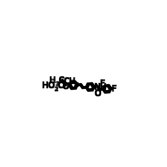 CC(C)(Oc1ccc(CCc2ccc(NC(=O)c3ccc(F)cc3F)cc2)cc1)C(=O)O